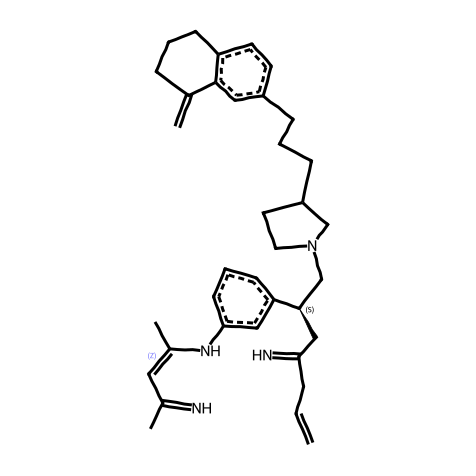 C=CCC(=N)C[C@H](CN1CCC(CCCc2ccc3c(c2)C(=C)CCC3)C1)c1cccc(N/C(C)=C\C(C)=N)c1